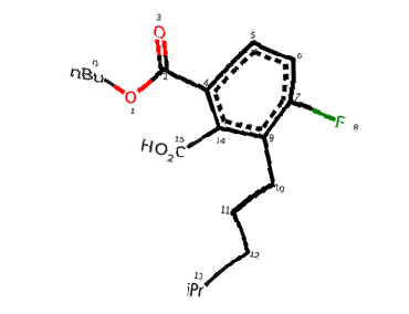 CCCCOC(=O)c1ccc(F)c(CCCC(C)C)c1C(=O)O